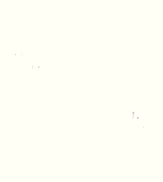 O=[C]OCCCCCCc1ccc([N+](=O)[O-])cc1